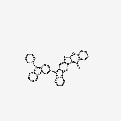 O=c1c2ccccc2oc2nc3cc4c(cc3n12)c1ccccc1n4-c1ccc2c(c1)c1ccccc1n2-c1ccccc1